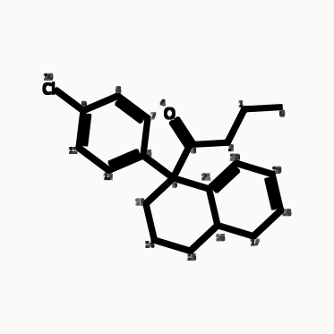 CCCC(=O)C1(c2ccc(Cl)cc2)CCCC2CC=CC=C21